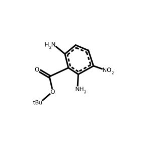 CC(C)(C)OC(=O)c1c(N)ccc([N+](=O)[O-])c1N